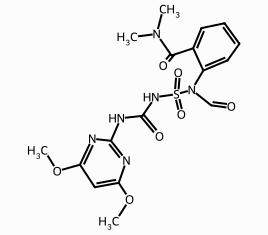 COc1cc(OC)nc(NC(=O)NS(=O)(=O)N(C=O)c2ccccc2C(=O)N(C)C)n1